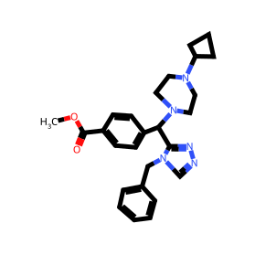 COC(=O)c1ccc(C(c2nncn2Cc2ccccc2)N2CCN(C3CCC3)CC2)cc1